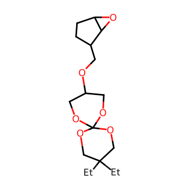 CCC1(CC)COC2(OCC(OCC3CCC4OC34)CO2)OC1